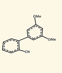 COc1cc(OC)cc(-c2ccccc2C#N)c1